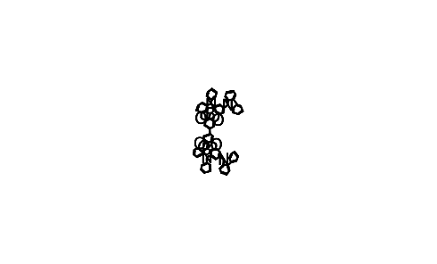 c1ccc(N2c3cccc4c3B3c5c(cc(-c6cc7c8c(c6)Oc6cc(-n9c%10ccccc%10c%10ccccc%109)cc9c6B8c6c(cccc6N9c6ccccc6)O7)cc5Oc5cc(-n6c7ccccc7c7ccccc76)cc2c53)O4)cc1